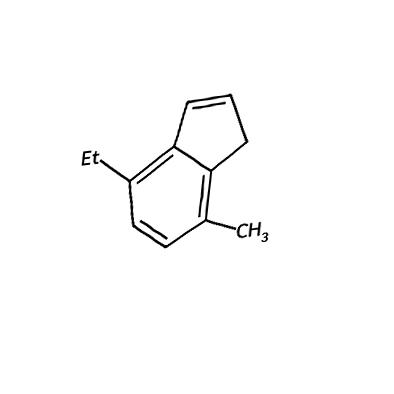 CCc1ccc(C)c2c1C=CC2